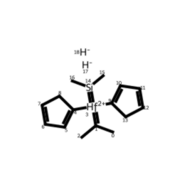 C[C](C)=[Hf+2]([C]1=CC=CC1)([C]1=CC=CC1)=[Si](C)C.[H-].[H-]